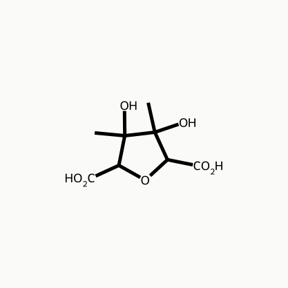 CC1(O)C(C(=O)O)OC(C(=O)O)C1(C)O